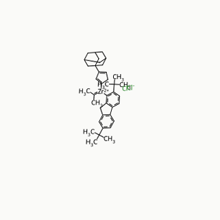 C[C](C)=[Zr+2]([C]1=CC(C23CC4CC(CC(C4)C2)C3)=CC1)[c]1c(C(C)(C)C)ccc2c1Cc1cc(C(C)(C)C)ccc1-2.[Cl-].[Cl-]